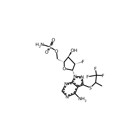 CC(Sc1nn([C@@H]2O[C@H](COS(N)(=O)=O)[C@@H](O)[C@@H]2F)c2ncnc(N)c12)C(F)(F)F